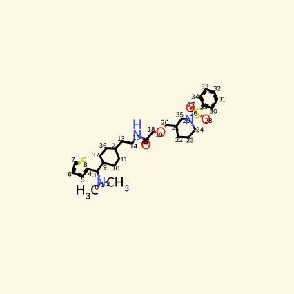 CN(C)C(c1cccs1)C1CCC(CCNC(=O)COCC2CCCN(S(=O)(=O)c3ccccc3)C2)CC1